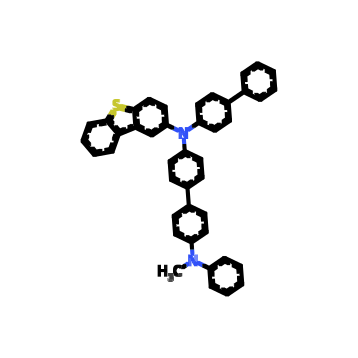 CN(c1ccccc1)c1ccc(-c2ccc(N(c3ccc(-c4ccccc4)cc3)c3ccc4sc5ccccc5c4c3)cc2)cc1